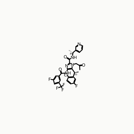 CC(=O)Cn1c(C(=O)N[C@H](C)c2cccnc2)nc(NC(=O)c2cc(F)cc(C(F)(F)F)c2)c1[C@@H](C)c1cc(F)ccc1Cl